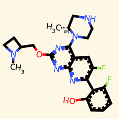 C[C@@H]1CNCCN1c1nc(OCC2CCN2C)nc2nc(-c3c(O)cccc3F)c(F)cc12